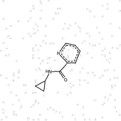 O=C(NC1CC1)c1[c]cccn1